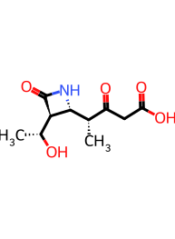 C[C@@H](O)[C@H]1C(=O)N[C@@H]1[C@@H](C)C(=O)CC(=O)O